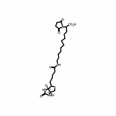 O=C(CCCCC1SC[C@@H]2NC(=O)N[C@H]12)NCCCCCCCCCCC(C(=O)O)N1C(=O)CCC1=O